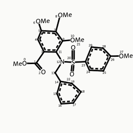 COC(=O)c1cc(OC)c(OC)c(OC)c1N(Cc1ccccc1)S(=O)(=O)c1ccc(OC)cc1